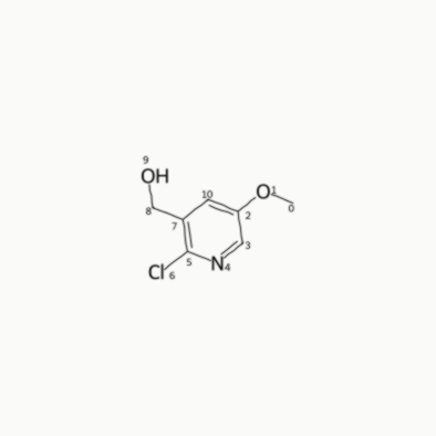 COc1cnc(Cl)c(CO)c1